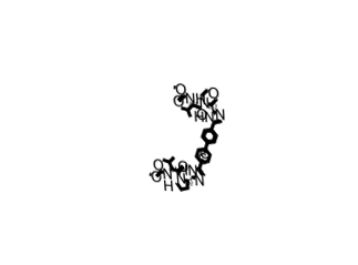 COC(=O)N[C@H](C(=O)N1CCOC[C@H]1c1ncc(-c2ccc(C34CCC(c5cnc([C@@H]6CCCN6C(=O)[C@@H](NC(=O)OC)C(C)C)[nH]5)(CC3)CC4)cc2)[nH]1)C(C)C